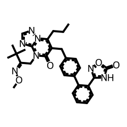 CCCc1c(Cc2ccc(-c3ccccc3-c3noc(=O)[nH]3)cc2)c(=O)n(C/C(=N\OC)C(C)(C)C)c2ncnn12